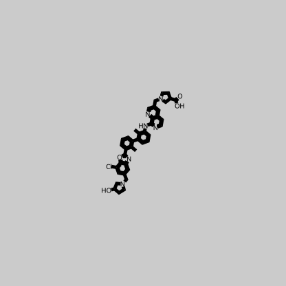 Cc1c(Nc2nccc3cc(CN4CCC(C(=O)O)C4)cnc23)cccc1-c1cccc(-c2nc3cc(CN4CCC(O)C4)cc(Cl)c3o2)c1C